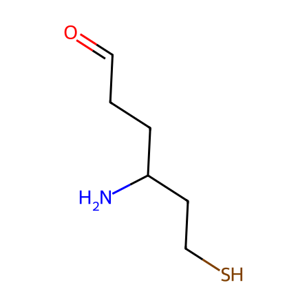 NC(CCS)CCC=O